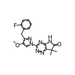 COc1cn(-c2nnc3c(n2)NC(=O)C3(C)C)nc1Cc1ccccc1F